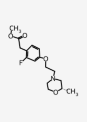 COC(=O)Cc1ccc(OCCN2CCO[C@@H](C)C2)cc1F